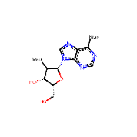 CNc1ncnc2c1ncn2[C@@H]1O[C@H](CO)[C@H](O)C1OC